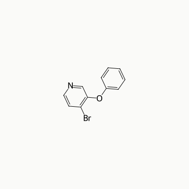 Brc1ccncc1Oc1ccccc1